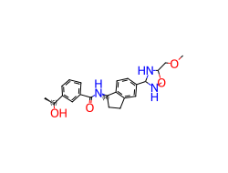 COCC1NC(c2ccc3c(c2)CC[C@H]3NC(=O)c2cccc([C@H](C)O)c2)NO1